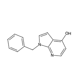 Oc1ccnc2c1ccn2Cc1ccccc1